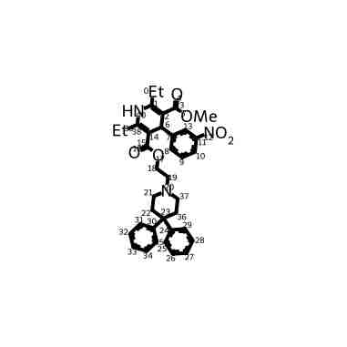 CCC1=C(C(=O)OC)C(c2cccc([N+](=O)[O-])c2)C(C(=O)OCCN2CCC(c3ccccc3)(c3ccccc3)CC2)=C(CC)N1